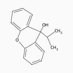 CC(C)C1(O)c2ccccc2Oc2ccccc21